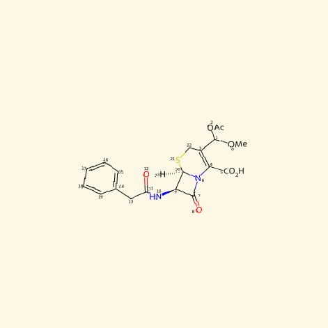 COC(OC(C)=O)C1=C(C(=O)O)N2C(=O)[C@@H](NC(=O)Cc3ccccc3)[C@H]2SC1